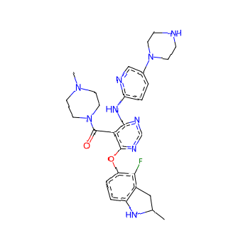 CC1Cc2c(ccc(Oc3ncnc(Nc4ccc(N5CCNCC5)cn4)c3C(=O)N3CCN(C)CC3)c2F)N1